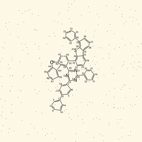 c1ccc(-c2ccc(-c3nc(-c4ccccc4)nc(-c4c(-c5cccc6c5sc5c(-c7ccccc7)cccc56)ccc5oc6ccccc6c45)n3)cc2)cc1